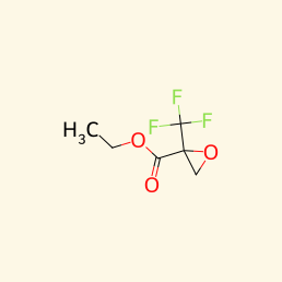 CCOC(=O)C1(C(F)(F)F)CO1